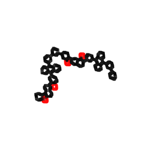 C1=CC(c2ccccc2)CC(c2c3ccccc3c(C3=CC=C4Oc5c(ccc6cc7oc8cc(-c9cccc(C%10C=CC=C(c%11c%12ccccc%12c(-c%12ccc%13oc%14c(ccc%15c%14ccc%14oc%16ccccc%16c%14%15)c%13c%12)c%12ccccc%11%12)C%10)c9)ccc8c7cc56)C4C3)c3ccccc23)=C1